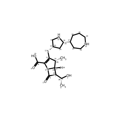 C[C@@H](O)[C@H]1C(=O)N2C(C(=O)O)=C(S[C@@H]3CN[C@H](C4CCCNCC4)C3)[C@H](C)[C@H]12